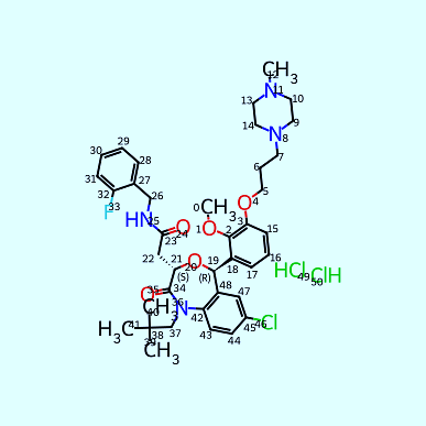 COc1c(OCCCN2CCN(C)CC2)cccc1[C@@H]1O[C@@H](CC(=O)NCc2ccccc2F)C(=O)N(CC(C)(C)C)c2ccc(Cl)cc21.Cl.Cl